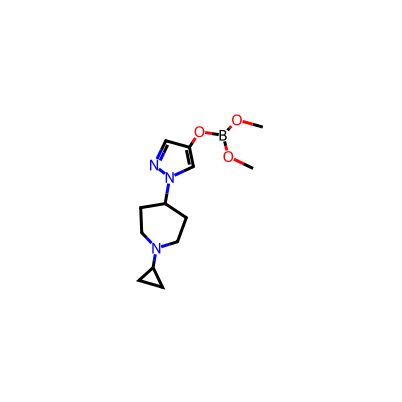 COB(OC)Oc1cnn(C2CCN(C3CC3)CC2)c1